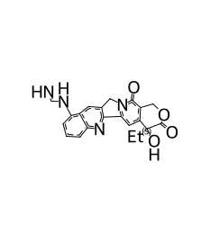 CC[C@@]1(O)C(=O)OCc2c1cc1n(c2=O)Cc2cc3c(NC=N)cccc3nc2-1